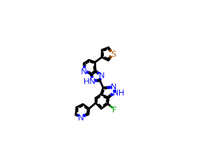 Fc1cc(-c2cccnc2)cc2c(-c3nc4c(-c5ccsc5)ccnc4[nH]3)n[nH]c12